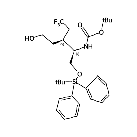 CC(C)(C)OC(=O)N[C@@H](CO[Si](c1ccccc1)(c1ccccc1)C(C)(C)C)[C@@H](CCO)CC(F)(F)F